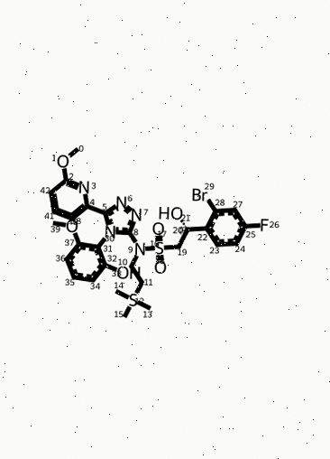 COC1=NC(c2nnc(N(CCS(C)(C)C)S(=O)(=O)C[C@H](O)c3ccc(F)cc3Br)n2-c2c(O)cccc2OC)=C=C=C1